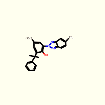 CCCCCCCCc1cc(-n2nc3ccc(C(F)(F)F)cc3n2)c(O)c(C(C)(C)c2ccccc2)c1